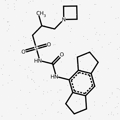 CC(CN1CCC1)CS(=O)(=O)NC(=O)Nc1c2c(cc3c1CCC3)CCC2